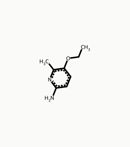 CCOc1ccc(N)nc1C